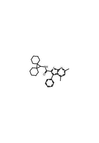 Cc1cc(C)c2c(-c3ccccc3)c(C(=O)NC3C4(CCCCC4)C34CCCCC4)sc2n1